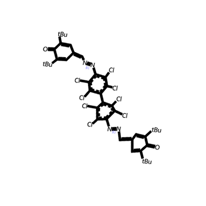 CC(C)(C)C1=CC(=C/N=N/c2c(Cl)c(Cl)c(-c3c(Cl)c(Cl)c(/N=N/C=C4C=C(C(C)(C)C)C(=O)C(C(C)(C)C)=C4)c(Cl)c3Cl)c(Cl)c2Cl)C=C(C(C)(C)C)C1=O